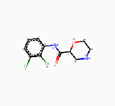 O=C(Nc1cccc(Cl)c1Cl)[C@@H]1CNCCO1